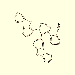 N#Cc1ccccc1-c1cccc(-c2cccc3c2oc2ccccc23)c1-c1ccc2oc3ccccc3c2c1